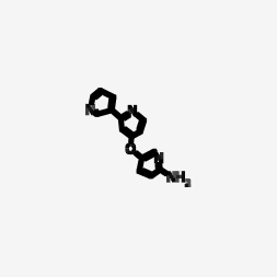 Nc1ccc(Oc2ccnc(-c3cccnc3)c2)cn1